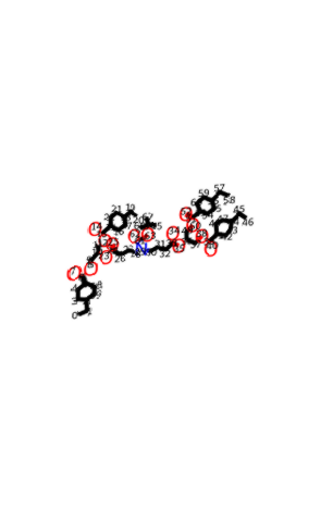 CCC1CCC(C(=O)OCC(COC(=O)C2CCC(CC)CC2)OC(=O)CCCN(CCCC(=O)OC(COC(=O)C2CCC(CC)CC2)COC(=O)C2CCC(CC)CC2)C(=O)OC(C)(C)C)CC1